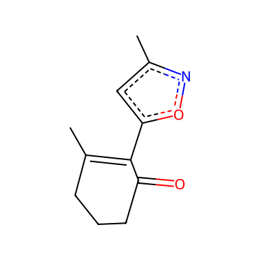 CC1=C(c2cc(C)no2)C(=O)CCC1